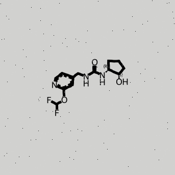 O=C(NCc1ccnc(OC(F)F)c1)N[C@@H]1CCC[C@@H]1O